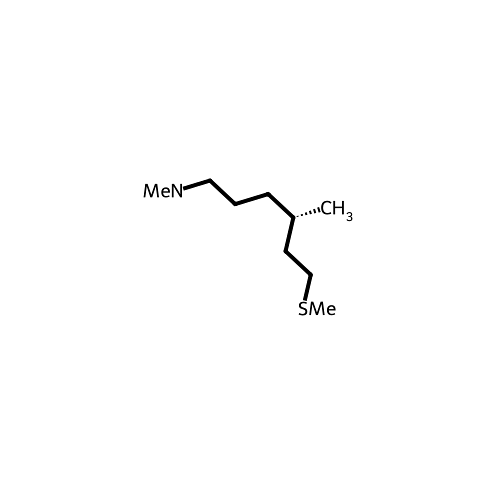 CNCCC[C@H](C)CCSC